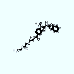 CCOC(=O)COCCNC(=O)c1ccc2c(c1)nc(Nc1nc3ccccc3o1)n2C